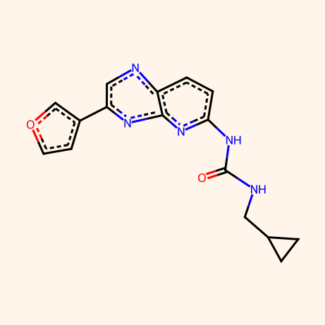 O=C(NCC1CC1)Nc1ccc2ncc(-c3ccoc3)nc2n1